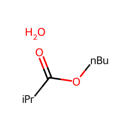 CCCCOC(=O)C(C)C.O